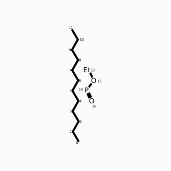 CCCCCCCCCCCC.CCOP=O